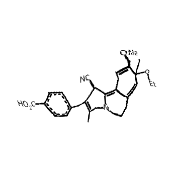 CCOC1(C)C=C2CCN3C(C)=C(c4ccc(C(=O)O)cc4)C(C#N)C3=C2C=C1OC